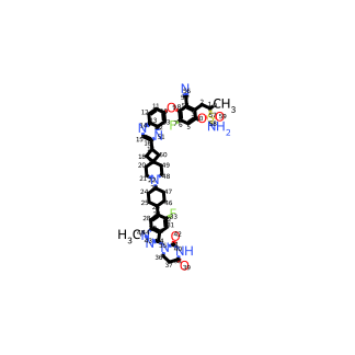 CC(Cc1ccc(F)c(Oc2ccc3ncc(C4CC5(CCN(C6CCC(c7cc8c(cc7F)c(N7CCC(=O)NC7=O)nn8C)CC6)CC5)C4)nc3c2)c1C#N)S(N)(=O)=O